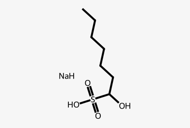 CCCCCCC(O)S(=O)(=O)O.[NaH]